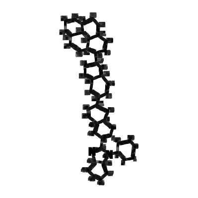 c1ccc(-n2c(-c3ccc4cc(-c5ccc6cc(-c7ccc8ccc9cccc%10ccc7c8c9%10)ccc6c5)ccc4c3)nc3ccccc32)cc1